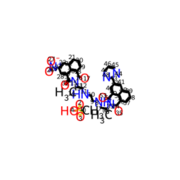 CS(=O)(=O)O.C[C@H](CNCCNC[C@H](C)N1C(=O)c2cccc3cc([N+](=O)[O-])cc(c23)C1=O)N1C(=O)c2cccc3cc(-c4ncccn4)cc(c23)C1=O